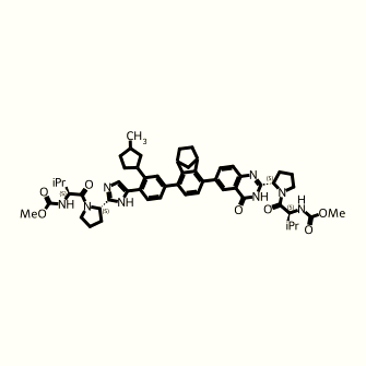 COC(=O)N[C@H](C(=O)N1CCC[C@H]1c1ncc(-c2ccc(-c3ccc(-c4ccc5nc([C@@H]6CCCN6C(=O)[C@@H](NC(=O)OC)C(C)C)[nH]c(=O)c5c4)c4c3C3CCC4C3)cc2C2CCC(C)C2)[nH]1)C(C)C